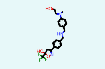 CN(CCO)c1ccc(CNCc2ccc(C3=NOC(O)(C(F)(F)F)C3)cc2)cc1